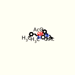 CC(=O)Oc1ccc2c3c1OC1C(N(C)C(=O)/C=C/c4cccc(C)c4)CC[C@@]4(OC(C)=O)[C@@H](C2)N(CC2CC2)CC[C@]314